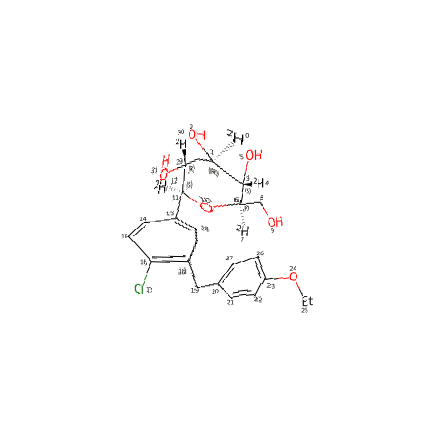 [2H][C@]1(O)[C@]([2H])(O)[C@@]([2H])(CO)O[C@@]([2H])(c2ccc(Cl)c(Cc3ccc(OCC)cc3)c2)[C@]1([2H])O